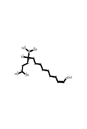 CCCCCCCC/C=C\CCCCCCCC(CC)(CCC(O)O)N(O)O